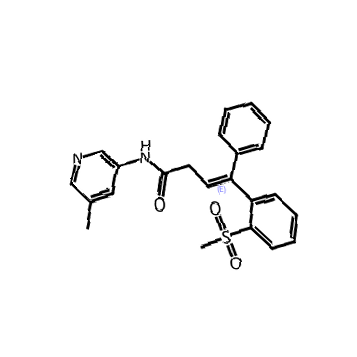 Cc1cncc(NC(=O)C/C=C(\c2ccccc2)c2ccccc2S(C)(=O)=O)c1